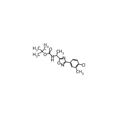 Cc1cc(-c2noc([C@H](C)NC(=O)OC(C)(C)C)n2)ccc1Cl